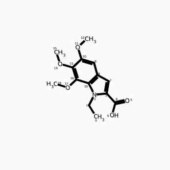 CCn1c(C(=O)O)cc2cc(OC)c(OC)c(OC)c21